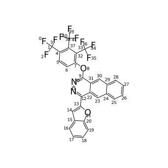 FC(F)(F)c1ccc(Oc2nnc(-c3cc4ccccc4o3)c3cc4ccccc4cc23)c(C(F)(F)F)c1C(F)(F)F